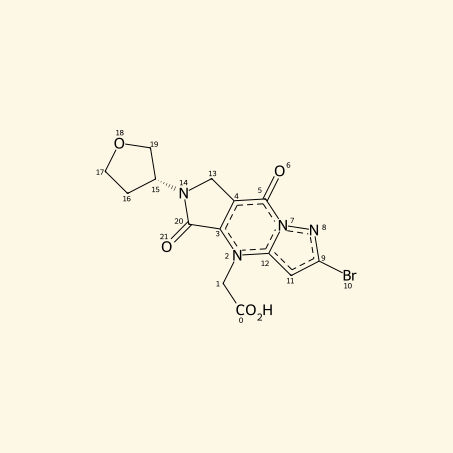 O=C(O)Cn1c2c(c(=O)n3nc(Br)cc13)CN([C@@H]1CCOC1)C2=O